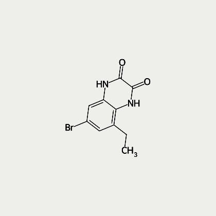 CCc1cc(Br)cc2[nH]c(=O)c(=O)[nH]c12